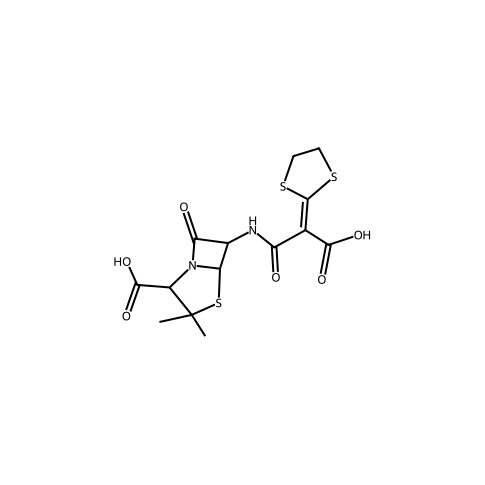 CC1(C)SC2C(NC(=O)C(C(=O)O)=C3SCCS3)C(=O)N2C1C(=O)O